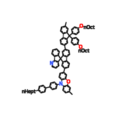 CCCCCCCCOc1ccc(C2(c3ccc(OCCCCCCCC)cc3)c3cc(C)ccc3-c3ccc(-c4ccc5c(c4)C4(c6cc(-c7ccc8c(c7)Oc7cc(C)ccc7N8c7ccc(-c8ccc(CCCCCCC)cc8)cc7)ccc6-5)c5ccccc5-c5ncccc54)cc32)cc1